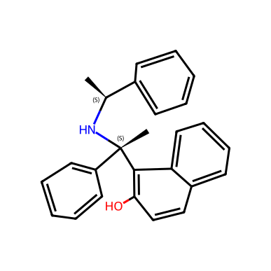 C[C@H](N[C@@](C)(c1ccccc1)c1c(O)ccc2ccccc12)c1ccccc1